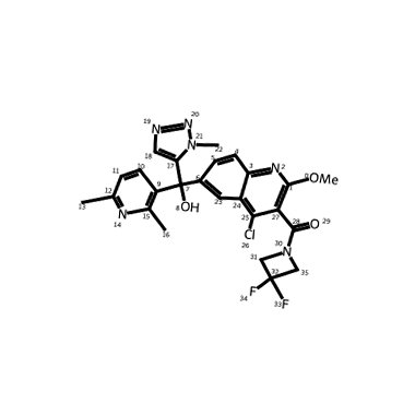 COc1nc2ccc(C(O)(c3ccc(C)nc3C)c3cnnn3C)cc2c(Cl)c1C(=O)N1CC(F)(F)C1